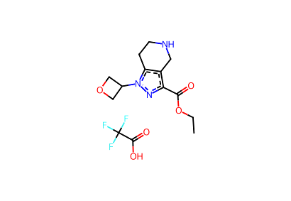 CCOC(=O)c1nn(C2COC2)c2c1CNCC2.O=C(O)C(F)(F)F